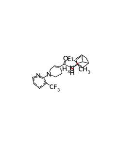 CCC(C)(C)C1C2=CC(NC(=O)C3=CCN(c4ncccc4C(F)(F)F)CC3)=CC1C2